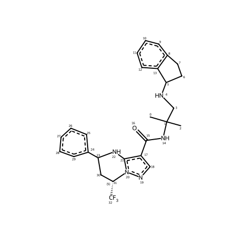 CC(C)(CNC1CCc2ccccc21)NC(=O)c1cnn2c1NC(c1ccccc1)C[C@H]2C(F)(F)F